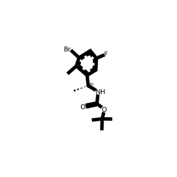 Cc1c(Br)cc(F)cc1[C@@H](C)NC(=O)OC(C)(C)C